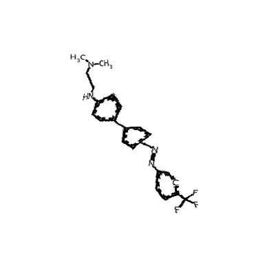 CN(C)CCNc1ccc(-c2ccc(N=Nc3ccc(C(F)(F)F)cc3)cc2)cc1